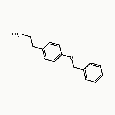 O=C(O)CCc1ccc(OCc2ccccc2)cn1